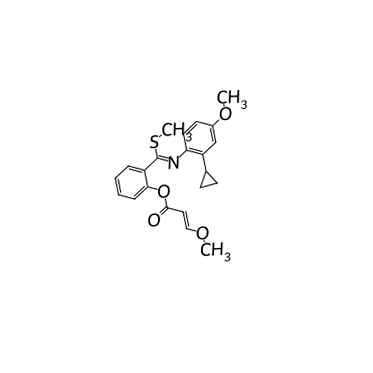 COC=CC(=O)Oc1ccccc1C(=Nc1ccc(OC)cc1C1CC1)SC